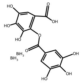 O=C(Oc1c(C(=O)O)cc(O)c(O)c1O)c1cc(O)c(O)c(O)c1.[BiH3].[BiH3]